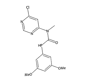 COc1cc(OC)cc(PC(=O)N(C)c2cc(Cl)ncn2)c1